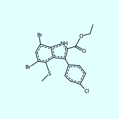 CCOC(=O)c1[nH]c2c(Br)cc(Br)c(SC)c2c1-c1ccc(Cl)cc1